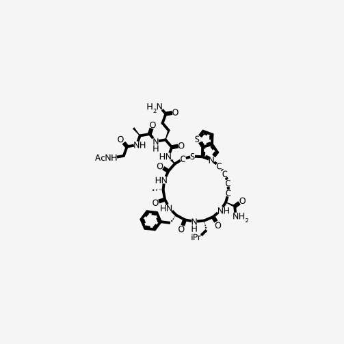 CC(=O)NCC(=O)N[C@@H](C)C(=O)N[C@@H](CCC(N)=O)C(=O)N[C@H]1CSc2c3sccc3cn2CCCC[C@@H](C(N)=O)NC(=O)[C@H](CC(C)C)NC(=O)[C@H](Cc2ccccc2)NC(=O)[C@H](C)NC1=O